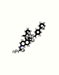 C=C(O[C@@](CC)(C(=O)SCc1ccc(-c2ccccn2)cc1)C1(C)CCC2C/C(=C\C(=O)CCC)CCC2C1C)c1ccco1